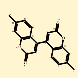 Cc1ccc2c(-c3cc(=O)oc4cc(C)ccc34)cc(=O)oc2c1